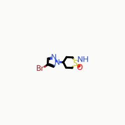 N=S1(=O)CCC(n2cc(Br)cn2)CC1